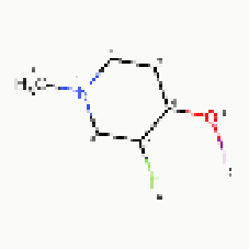 CN1CCC(OI)C(F)C1